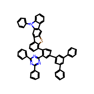 c1ccc(-c2cc(-c3ccccc3)cc(-c3ccc(-c4cccc5c4sc4cc6c7ccccc7n(-c7ccccc7)c6cc45)c(-c4nc(-c5ccccc5)nc(-c5ccccc5)n4)c3)c2)cc1